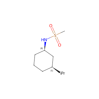 CC(C)[C@H]1CCC[C@@H](NS(C)(=O)=O)C1